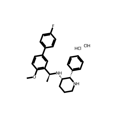 COc1ccc(-c2ccc(F)cc2)cc1[C@H](C)N[C@H]1CCCN[C@H]1c1ccccc1.Cl.Cl